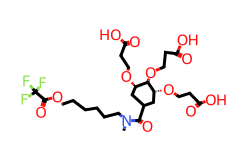 CN(CCCCCCOC(=O)C(F)(F)F)C(=O)C1C[C@@H](OCCC(=O)O)C(OCCC(=O)O)[C@H](OCCC(=O)O)C1